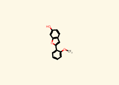 Oc1ccc2cc(-c3ccccc3OC(F)(F)F)oc2c1